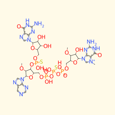 COC1C(COP(=O)(O)OP(O)(=S)OP(=O)(O)OCC2OC(n3cnc4cncnc43)C(OC)C2OP(O)(=S)OCC2OC(n3cnc4c(=O)[nH]c(N)nc43)C(O)C2O)OC(n2c[n+](C)c3c(=O)[nH]c(N)nc32)C1O